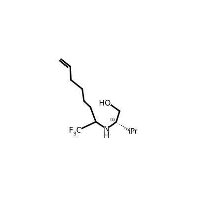 C=CCCCCC(N[C@H](CO)C(C)C)C(F)(F)F